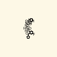 O=C(O)Cc1nc(NC(=O)Nc2ccc(F)cc2C(=O)C2CCCC2)sc1S(=O)(=O)c1ccccn1